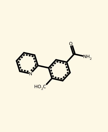 NC(=O)c1ccc(C(=O)O)c(-c2ccccn2)c1